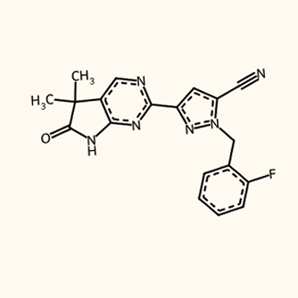 CC1(C)C(=O)Nc2nc(-c3cc(C#N)n(Cc4ccccc4F)n3)ncc21